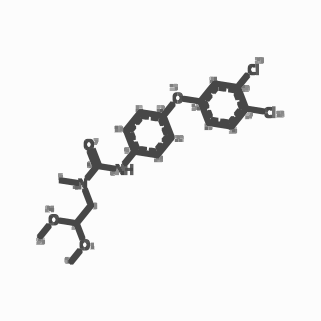 COC(CN(C)C(=O)Nc1ccc(Oc2ccc(Cl)c(Cl)c2)cc1)OC